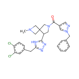 CN1CC2(C1)CN(C(=O)c1cnn(Cc3ccccc3)c1)CC2c1nnc(Cc2ccc(Cl)c(Cl)c2)[nH]1